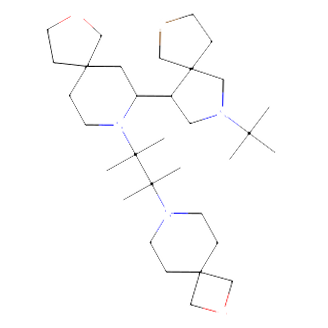 CC(C)(C)N1CC(C2CC3(CCOC3)CCN2C(C)(C)C(C)(C)N2CCC3(CC2)COC3)C2(CCSC2)C1